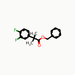 CC(C)(C(=O)OCc1ccccc1)c1ccc(F)c(F)c1